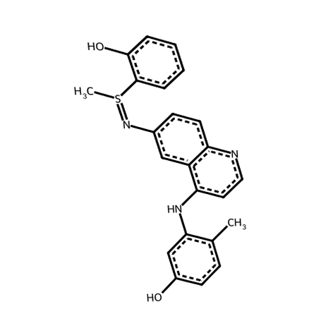 Cc1ccc(O)cc1Nc1ccnc2ccc(N=S(C)c3ccccc3O)cc12